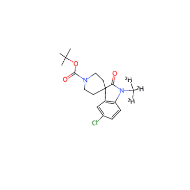 [2H]C([2H])([2H])N1C(=O)C2(CCN(C(=O)OC(C)(C)C)CC2)c2cc(Cl)ccc21